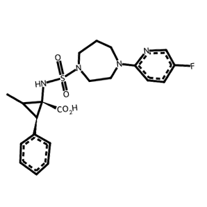 CC1[C@H](c2ccccc2)[C@]1(NS(=O)(=O)N1CCCN(c2ccc(F)cn2)CC1)C(=O)O